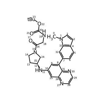 Cn1ccc2ccc(-c3cc(N[C@H]4CCN(C(=O)CNC(=O)OC(C)(C)C)C4)cc4nccnc34)cc21